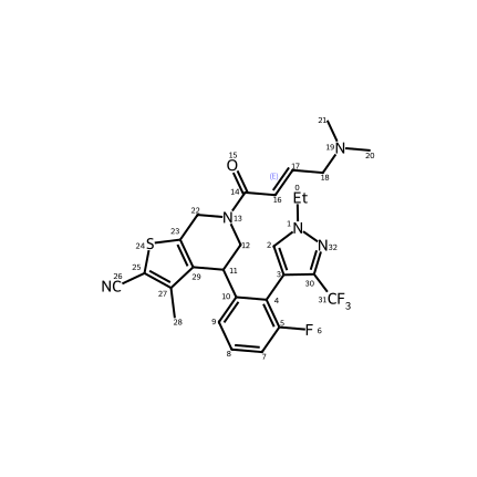 CCn1cc(-c2c(F)cccc2C2CN(C(=O)/C=C/CN(C)C)Cc3sc(C#N)c(C)c32)c(C(F)(F)F)n1